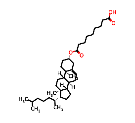 CC(C)CCCC(C)[C@H]1CC[C@H]2[C@@H]3CC=C4C[C@@H](OC(=O)CCCCCCCC(=O)O)CC[C@]4(C)[C@H]3CC[C@]12C